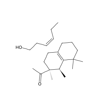 CC(=O)[C@@]1(C)CCC2=C([C@H]1C)C(C)(C)CCC2.CC/C=C\CCO